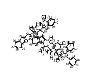 Cc1cc(C)c(C(C)(N)CC(=O)n2cc(CC(C)(NC(=O)OCc3cc4ccccc4o3)C(=O)NC(C)c3ccccc3)c3ccccc32)c(OP(=O)(OCc2ccccc2)OCc2ccccc2)c1